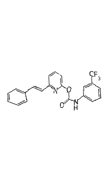 O=C(Nc1cccc(C(F)(F)F)c1)Oc1cccc(C=Cc2ccccc2)n1